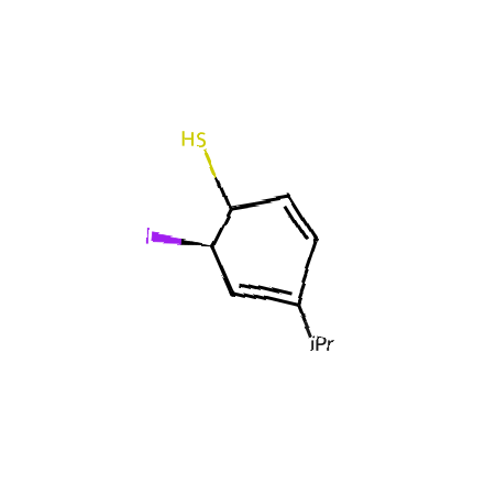 CC(C)C1=C[C@@H](I)C(S)C=C1